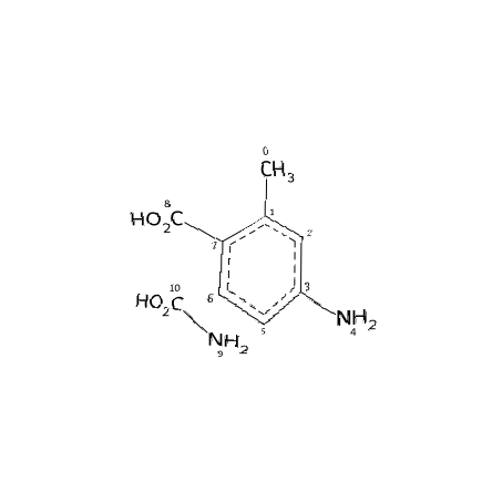 Cc1cc(N)ccc1C(=O)O.NC(=O)O